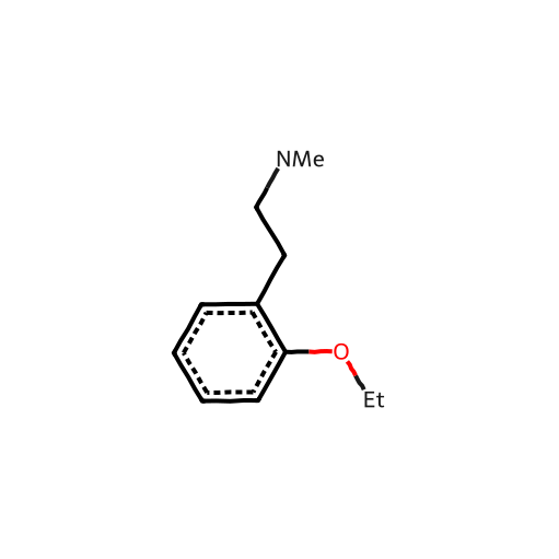 CCOc1ccccc1CCNC